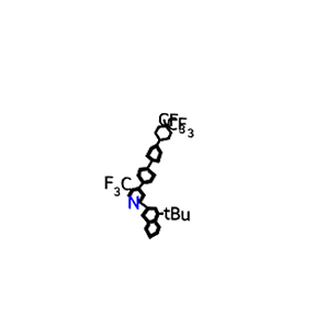 CC(C)(C)c1cc(-c2cc(-c3ccc(-c4ccc(C5CCC(C(F)(F)F)(C(F)(F)F)CC5)cc4)cc3)c(C(F)(F)F)cn2)cc2ccccc12